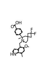 COc1cc(C)c2[nH]ccc2c1CN1CCC2(CC(F)(F)C2)C[C@@]1(C)c1ccc(C(=O)O)cc1